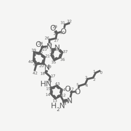 CCCCCCOC(=O)/N=C(/N)c1ccc(NC/C=N/c2cc(C(=O)N(CCC(=O)OCC)c3ccccn3)ccc2C)cc1